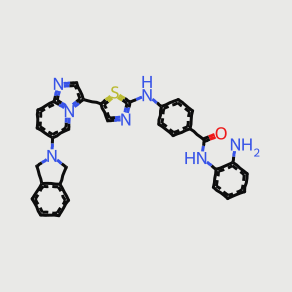 Nc1ccccc1NC(=O)c1ccc(Nc2ncc(-c3cnc4ccc(N5Cc6ccccc6C5)cn34)s2)cc1